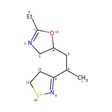 CCC1=NCC(CC(C)C2=NSCC2)O1